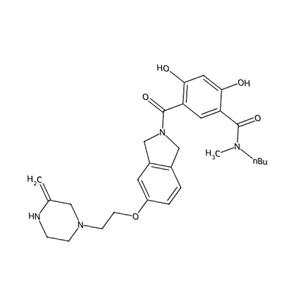 C=C1CN(CCOc2ccc3c(c2)CN(C(=O)c2cc(C(=O)N(C)CCCC)c(O)cc2O)C3)CCN1